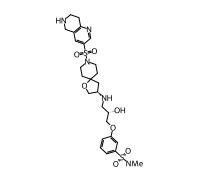 CNS(=O)(=O)c1cccc(OC[C@@H](O)CN[C@H]2COC3(CCN(S(=O)(=O)c4cnc5c(c4)CNCC5)CC3)C2)c1